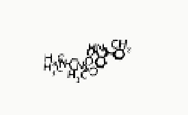 Cc1ccccc1-c1c[nH]c(=O)c2cc(O[C@H](C)C(=O)N3CCC(N(C)C)CC3)ccc12